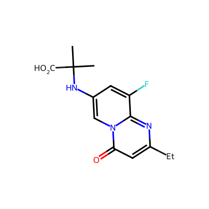 CCc1cc(=O)n2cc(NC(C)(C)C(=O)O)cc(F)c2n1